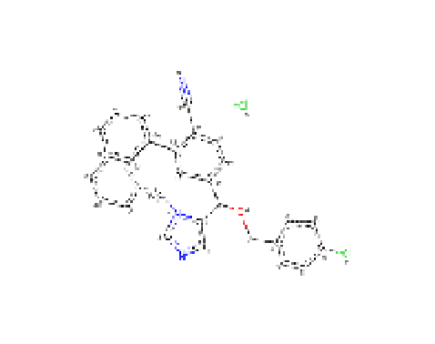 Cl.Cn1cncc1C(OCc1ccc(Cl)cc1)c1ccc(C#N)c(-c2cccc3ccccc23)c1